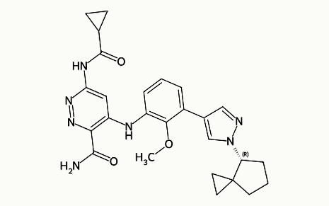 COc1c(Nc2cc(NC(=O)C3CC3)nnc2C(N)=O)cccc1-c1cnn([C@@H]2CCCC23CC3)c1